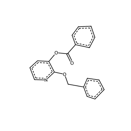 O=C(Oc1cccnc1OCc1ccccc1)c1ccccc1